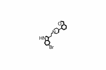 Brc1ccc2[nH]cc(CCN3CC=C(c4cccc5ccoc45)CC3)c2c1